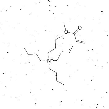 C=CC(=O)OC.CCCC[N+](CCCC)(CCCC)CCCC